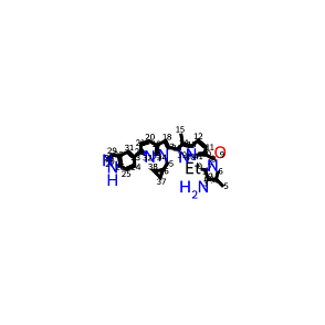 CCC1[C@H](N)C(C)CN1C(=O)c1ccc2c(C)c(-c3cc4ccc(-c5ccc6[nH]ncc6c5)nc4n3CC3CC3)nn2c1